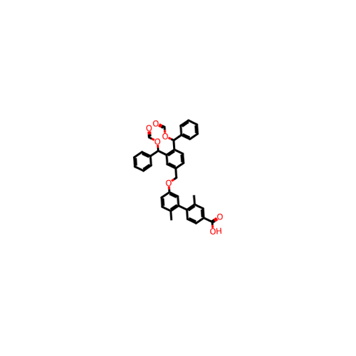 Cc1cc(C(=O)O)ccc1-c1cc(OCc2ccc(C(OC=O)c3ccccc3)c(C(OC=O)c3ccccc3)c2)ccc1C